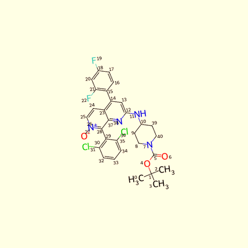 CC(C)(C)OC(=O)N1CCC(Nc2cc(-c3ccc(F)cc3F)c3cc[n+]([O-])c(-c4c(Cl)cccc4Cl)c3n2)CC1